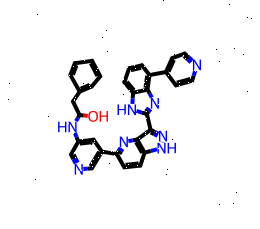 OC(Cc1ccccc1)Nc1cncc(-c2ccc3[nH]nc(-c4nc5c(-c6ccncc6)cccc5[nH]4)c3n2)c1